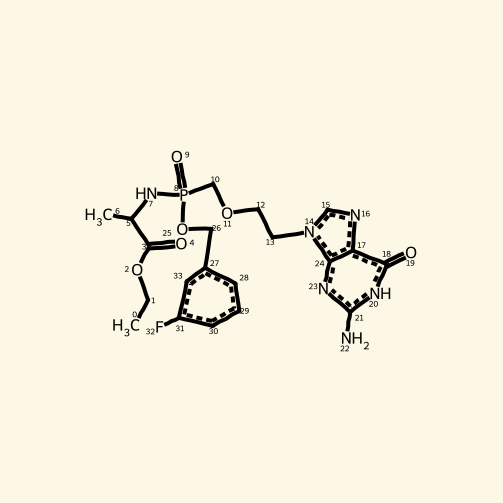 CCOC(=O)C(C)NP(=O)(COCCn1cnc2c(=O)[nH]c(N)nc21)OCc1cccc(F)c1